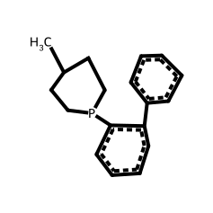 CC1CCP(c2ccccc2-c2ccccc2)CC1